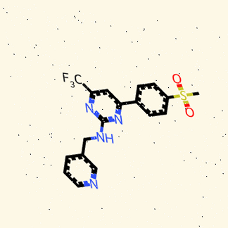 CS(=O)(=O)c1ccc(-c2cc(C(F)(F)F)nc(NCc3cccnc3)n2)cc1